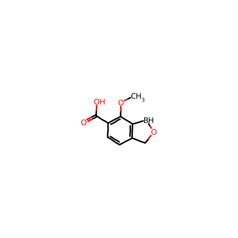 COc1c(C(=O)O)ccc2c1BOC2